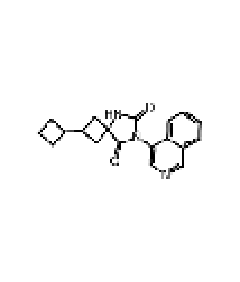 O=C1NC2(CC(C3CCC3)C2)C(=O)N1c1cncc2ccccc12